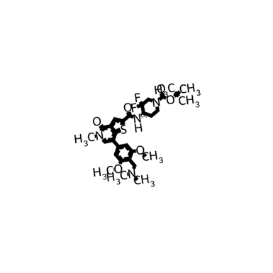 COc1cc(-c2cn(C)c(=O)c3cc(C(=O)N[C@H]4CCN(C(=O)OC(C)(C)C)CC4(F)F)sc23)cc(OC)c1CN(C)C